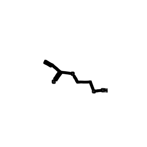 C=CC(=O)OCCOO